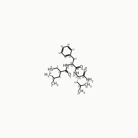 CC(C)CC(CS)C(=O)N[C@@H](Cc1ccccc1)C(=O)N[C@@H](CC(C)C)C(N)=O